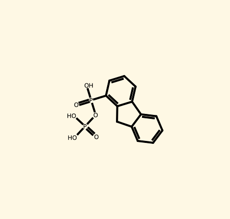 O=P(O)(O)OP(=O)(O)c1cccc2c1Cc1ccccc1-2